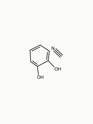 C#N.Oc1ccccc1O